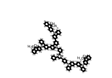 CC1(C)c2ccccc2-c2ccc(-n3c4ccccc4c4cc(-c5ccc6c(c5)c5ccccc5n6-c5ccc(-c6cc(-c7ccccc7)nc(-c7cccc(-n8c9ccc(-c%10ccc%11c(c%10)c%10ccccc%10n%11-c%10ccc%11c(c%10)C(C)(C)c%10ccccc%10-%11)cc9c9cc(-c%10ccc%11c(c%10)c%10ccccc%10n%11-c%10ccc%11c(c%10)C(C)(C)c%10ccccc%10-%11)ccc98)c7)n6)cc5)ccc43)cc21